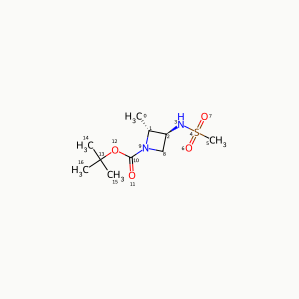 C[C@@H]1[C@@H](NS(C)(=O)=O)CN1C(=O)OC(C)(C)C